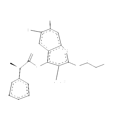 CCOC(=O)c1c(SCCF)nc2cc(F)c(F)cc2c1OC(=O)[C@H](C)c1ccccc1